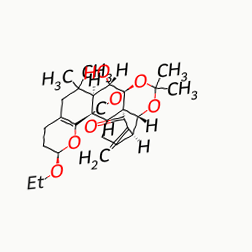 C=C1C(=O)[C@@]23[C@@H]4OC(C)(C)O[C@]25OC[C@]2(C6=C(CC[C@H](OCC)O6)CC(C)(C)[C@H]2[C@@H]5O)[C@@H]3CC[C@@H]14